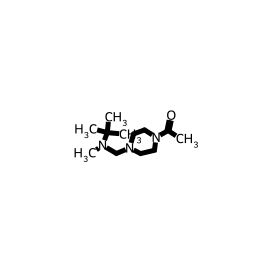 CC(=O)N1CCN(CN(C)C(C)(C)C)CC1